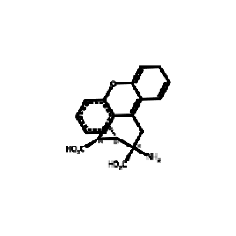 N[C@](CC1=C2C=CCC=C2Oc2ccccc21)(C(=O)O)[C@H]1C[C@@H]1C(=O)O